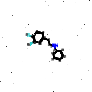 Fc1ccc(CCNc2cc[c]cc2)cc1F